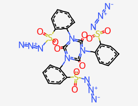 [N-]=[N+]=NS(=O)(=O)c1ccccc1-n1c(=O)n(-c2ccccc2S(=O)(=O)N=[N+]=[N-])c(=O)n(-c2ccccc2S(=O)(=O)N=[N+]=[N-])c1=O